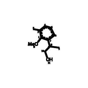 COc1c(C)cccc1[C](C)CO